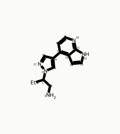 CCC(CN)n1cc(-c2ccnc3[nH]ccc23)cn1